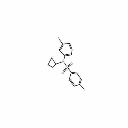 O=S(=O)(c1ccc(F)cc1)N(c1cccc(F)c1)C1CCC1